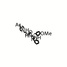 COc1ccc(C[C@@H](NC(=O)NCCN2CCN(C(C)=O)CC2)c2nc3ccccc3[nH]2)cc1